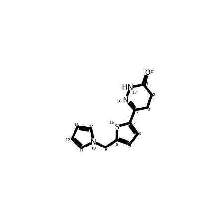 O=C1CCC(c2ccc(Cn3cccc3)s2)=NN1